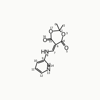 CC1(C)OC(=O)C(=CNc2cccnn2)C(=O)O1